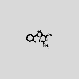 CSc1nc(N)nn2c(C3CCCCC3C)nnc12